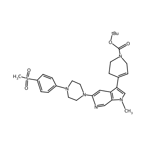 Cn1cc(C2=CCN(C(=O)OC(C)(C)C)CC2)c2cc(N3CCN(c4ccc(S(C)(=O)=O)cc4)CC3)ncc21